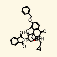 O=C1c2ccc(OCc3ccccc3)c3c2[C@]24CCN(CC5CC5)[C@H]1[C@]2(O)CC[C@@H](N1C(=O)c2ccccc2C1=O)[C@@H]4O3